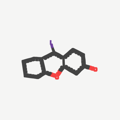 O=c1ccc2c(I)c3ccccc3oc-2c1